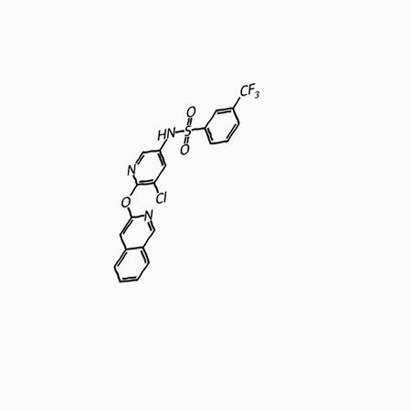 O=S(=O)(Nc1cnc(Oc2cc3ccccc3cn2)c(Cl)c1)c1cccc(C(F)(F)F)c1